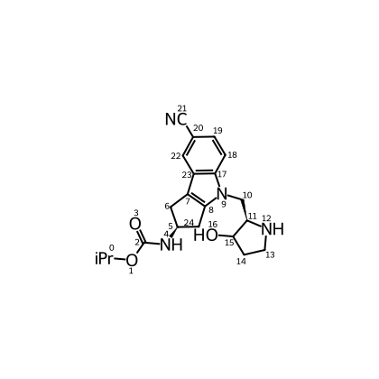 CC(C)OC(=O)N[C@H]1Cc2c(n(C[C@H]3NCCC3O)c3ccc(C#N)cc23)C1